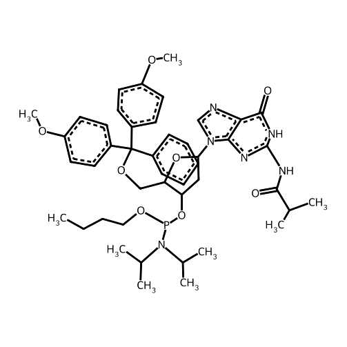 CCCCOP(OC1CC(n2cnc3c(=O)[nH]c(NC(=O)C(C)C)nc32)OC1COC(c1ccccc1)(c1ccc(OC)cc1)c1ccc(OC)cc1)N(C(C)C)C(C)C